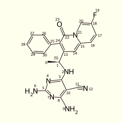 C[C@H](Nc1nc(N)nc(N)c1C#N)c1cc2ccc(F)cn2c(=O)c1-c1ccccc1